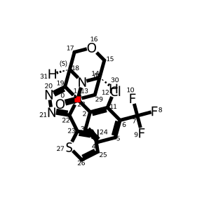 O=C(c1cccc(C(F)(F)F)c1Cl)N1[C@H]2COC[C@@H]1c1nnc(-c3nccs3)n1C2